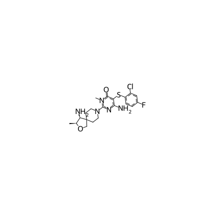 C[C@@H]1OCC2(CCN(c3nc(N)c(Sc4ccc(F)cc4Cl)c(=O)n3C)CC2)[C@@H]1N